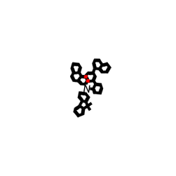 CC1(C)c2ccccc2-c2ccc(N(c3ccc4c(ccc5ccccc54)c3)c3ccccc3-c3cccc(-c4cccc5ccccc45)c3)cc21